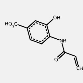 C=CC(=O)Nc1ccc(C(=O)O)cc1O